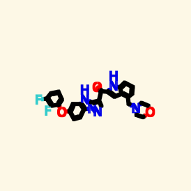 O=C(c1cc2c(CN3CCOCC3)cccc2[nH]1)c1cnn2c1[nH]c1cc(Oc3cccc(F)c3F)ccc12